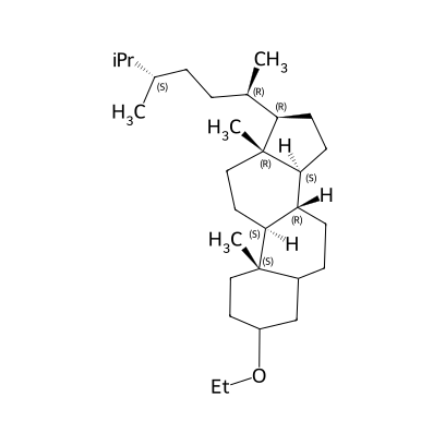 CCOC1CC[C@@]2(C)C(CC[C@H]3[C@@H]4CC[C@H]([C@H](C)CC[C@H](C)C(C)C)[C@@]4(C)CC[C@@H]32)C1